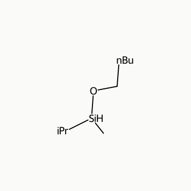 CCCCCO[SiH](C)C(C)C